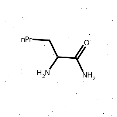 CCCC[C](N)C(N)=O